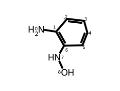 Nc1[c]cccc1NO